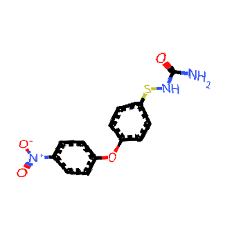 NC(=O)NSc1ccc(Oc2ccc([N+](=O)[O-])cc2)cc1